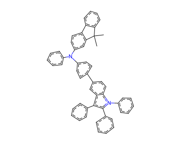 CC1(C)c2ccccc2-c2ccc(N(c3ccccc3)c3ccc(-c4ccc5c(c4)c(-c4ccccc4)c(-c4ccccc4)n5-c4ccccc4)cc3)cc21